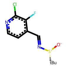 CC(C)(C)[S@@+]([O-])N=Cc1ccnc(Cl)c1F